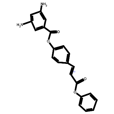 Nc1cc(N)cc(C(=O)Oc2ccc(/C=C/C(=O)Oc3ccccc3)cc2)c1